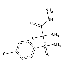 CC(C)(C(=O)NN)[SH](C)(=O)c1ccc(Cl)cc1